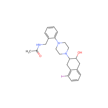 CC(=O)NCc1ccccc1N1CCN(C2Cc3c(I)cccc3CC2O)CC1